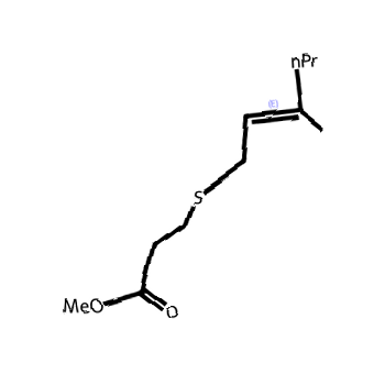 CCC/C(C)=C/CSCCC(=O)OC